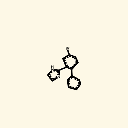 Brc1ccc(-c2ccccc2)c(-c2ncc[nH]2)c1